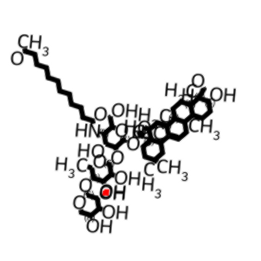 CC(=O)CCCCCCCCCCC(=O)N[C@H]1C(CO)O[C@@H](OC(=O)[C@]23CCC(C)(C)CC2C2=CCC4C5(C)CC[C@H](O)[C@](C)(C=O)[C@@H]5CC[C@]4(C)[C@]2(C)CC3O)C(O[C@@H]2OC(C)[C@H](O[C@@H]3OC[C@@H](O)C(O)C3O)C(O)C2O)C1O